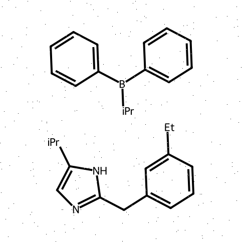 CC(C)B(c1ccccc1)c1ccccc1.CCc1cccc(Cc2ncc(C(C)C)[nH]2)c1